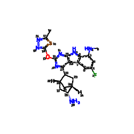 CNc1cc(F)cc2c1[nH]c1nc(Oc3nnc(C)s3)nc(C3C[C@H]4C[C@@H]3C[C@H]4N)c12